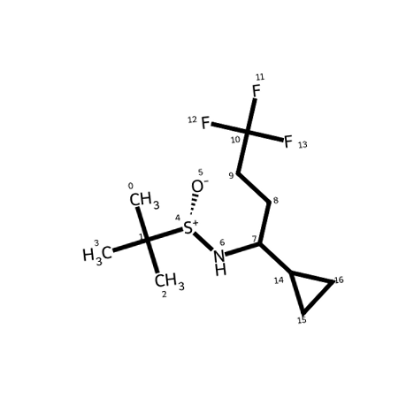 CC(C)(C)[S@+]([O-])NC(CCC(F)(F)F)C1CC1